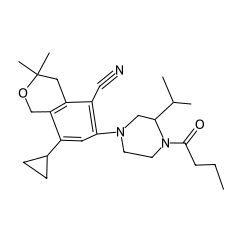 CCCC(=O)N1CCN(c2cc(C3CC3)c3c(c2C#N)CC(C)(C)OC3)CC1C(C)C